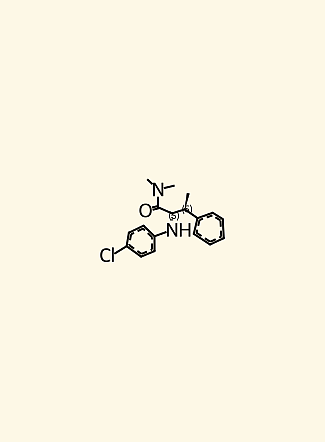 C[C@@H](c1ccccc1)[C@H](Nc1ccc(Cl)cc1)C(=O)N(C)C